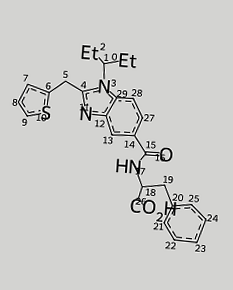 CCC(CC)n1c(Cc2cccs2)nc2cc(C(=O)NC(Cc3ccccc3)C(=O)O)ccc21